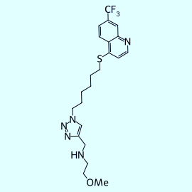 COCCNCc1cn(CCCCCCSc2ccnc3cc(C(F)(F)F)ccc23)nn1